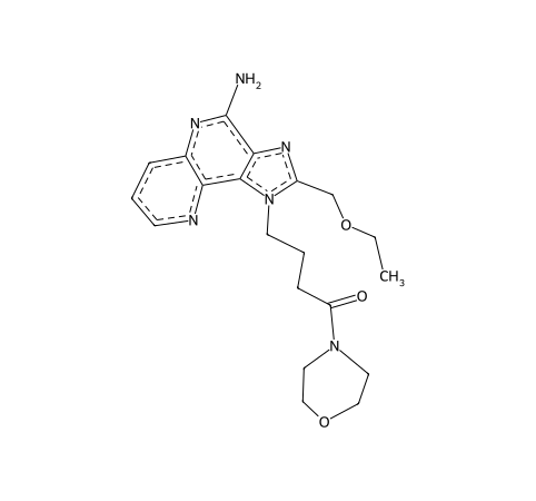 CCOCc1nc2c(N)nc3cccnc3c2n1CCCC(=O)N1CCOCC1